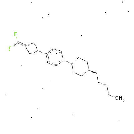 CCCCC[C@H]1CC[C@H](c2ccc(C3CC(=C(F)F)C3)cc2)CC1